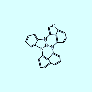 c1ccc2c(c1)N1B3N2c2coc4cccc(c24)N3c2cccc3cccc1c23